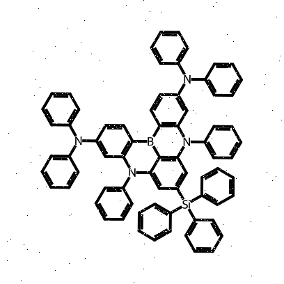 c1ccc(N(c2ccccc2)c2ccc3c(c2)N(c2ccccc2)c2cc([Si](c4ccccc4)(c4ccccc4)c4ccccc4)cc4c2B3c2ccc(N(c3ccccc3)c3ccccc3)cc2N4c2ccccc2)cc1